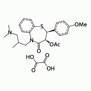 COc1ccc([C@@H]2Sc3ccccc3N(CC(C)CN(C)C)C(=O)[C@@H]2OC(C)=O)cc1.O=C(O)C(=O)O